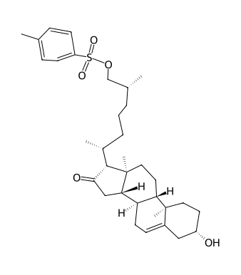 Cc1ccc(S(=O)(=O)OC[C@H](C)CCC[C@@H](C)[C@H]2C(=O)C[C@H]3[C@@H]4CC=C5C[C@@H](O)CC[C@]5(C)[C@H]4CC[C@]23C)cc1